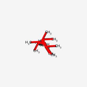 CCCCCCCCCCCCO[C@H](CCCCCCCCCCC)CC(=O)N[C@H]1[C@H](OC[C@H]2OC(O)[C@H](NC(=O)C[C@@H](CCCCCCCCCCC)OC(=O)C[C@@H](CCCCCCCCCCC)OCCCCCCCCCCCC)[C@@H](O)[C@@H]2O)O[C@H](CO)[C@@H](OP(=O)(O)O)[C@@H]1OC(=O)C[C@@H](CCCCCCCCCCC)OCCCCCCCCCCCC